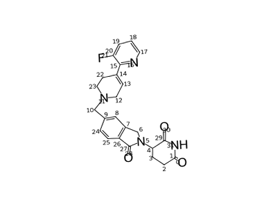 O=C1CCC(N2Cc3cc(CN4CC=C(c5ncccc5F)CC4)ccc3C2=O)C(=O)N1